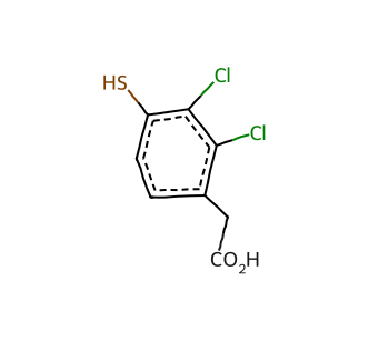 O=C(O)Cc1ccc(S)c(Cl)c1Cl